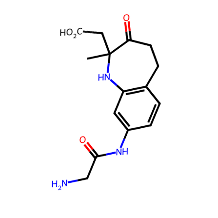 CC1(CC(=O)O)Nc2cc(NC(=O)CN)ccc2CCC1=O